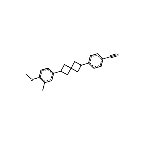 COc1ccc(C2CC3(C2)CN(c2ccc(C#N)cc2)C3)cc1F